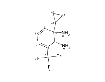 NC1C(C(F)(F)F)=CC=CC1(N)C1CC1